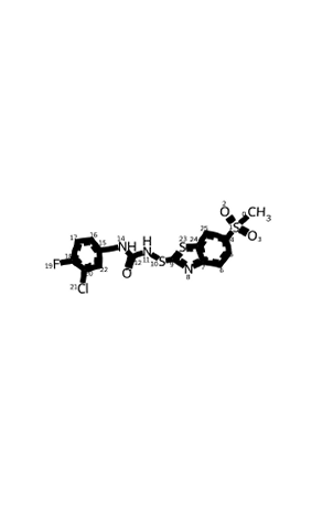 CS(=O)(=O)c1ccc2nc(SNC(=O)Nc3ccc(F)c(Cl)c3)sc2c1